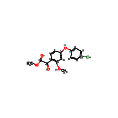 COC(=O)C(=O)c1ccc(Oc2ccc(Cl)cc2)cc1OC